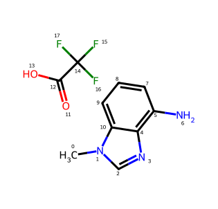 Cn1cnc2c(N)cccc21.O=C(O)C(F)(F)F